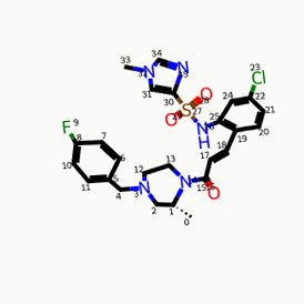 C[C@@H]1CN(Cc2ccc(F)cc2)CCN1C(=O)/C=C/c1ccc(Cl)cc1NS(=O)(=O)c1cn(C)cn1